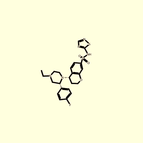 CCN1CCN([C@H]2CCOc3cc(S(=O)(=O)Nc4ncns4)ccc32)[C@H](c2ccc(F)cc2)C1